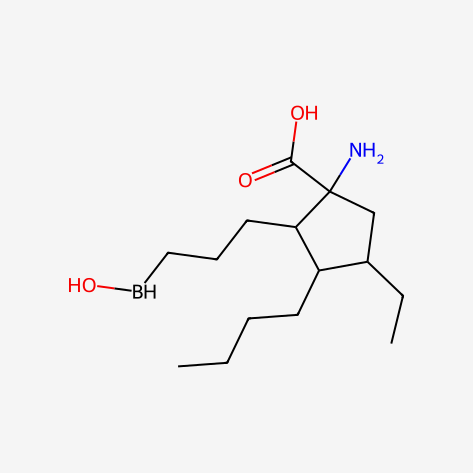 CCCCC1C(CC)CC(N)(C(=O)O)C1CCCBO